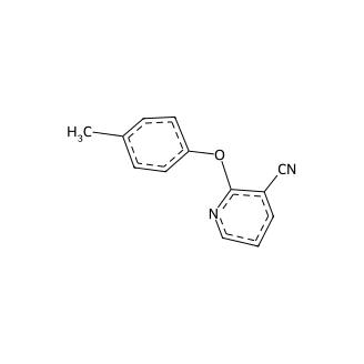 Cc1ccc(Oc2ncccc2C#N)cc1